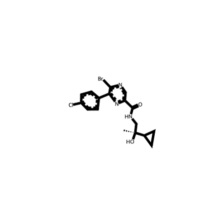 C[C@](O)(CNC(=O)c1cnc(Br)c(-c2ccc(Cl)cc2)n1)C1CC1